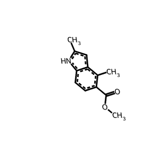 COC(=O)c1ccc2[nH]c(C)cc2c1C